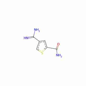 N=C(N)c1csc(C(N)=O)c1